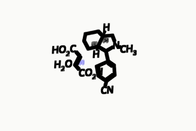 CN1C[C@H]2CCCC[C@H]2C1c1ccc(C#N)cc1.O.O=C(O)/C=C/C(=O)O